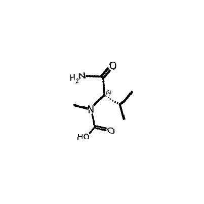 CC(C)[C@@H](C(N)=O)N(C)C(=O)O